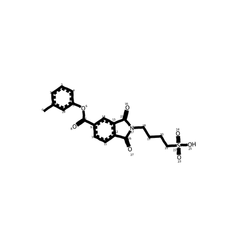 Cc1cccc(OC(=O)c2ccc3c(c2)C(=O)N(CCCCS(=O)(=O)O)C3=O)c1